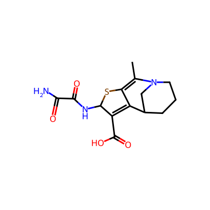 CC1=C2SC(NC(=O)C(N)=O)C(C(=O)O)=C2C2CCCN1C2